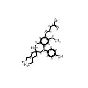 CCCCC1(CCCC)CN(c2ccc(O)cc2)c2cc(SC)c(OCCC(=O)O)cc2SN1